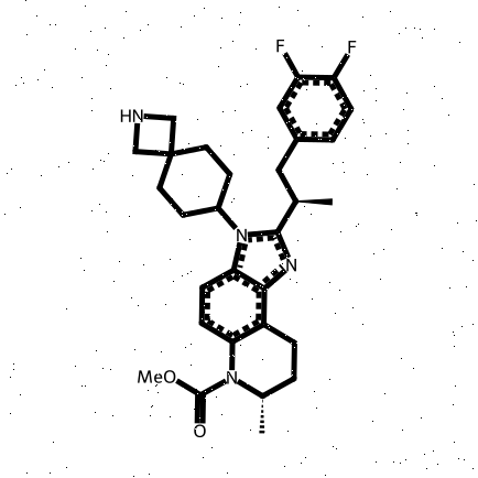 COC(=O)N1c2ccc3c(nc([C@H](C)Cc4ccc(F)c(F)c4)n3C3CCC4(CC3)CNC4)c2CC[C@@H]1C